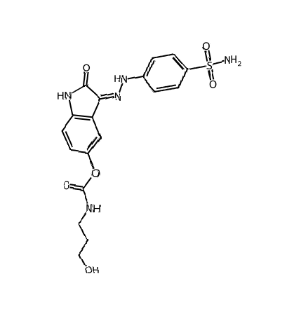 NS(=O)(=O)c1ccc(NN=C2C(=O)Nc3ccc(OC(=O)NCCCO)cc32)cc1